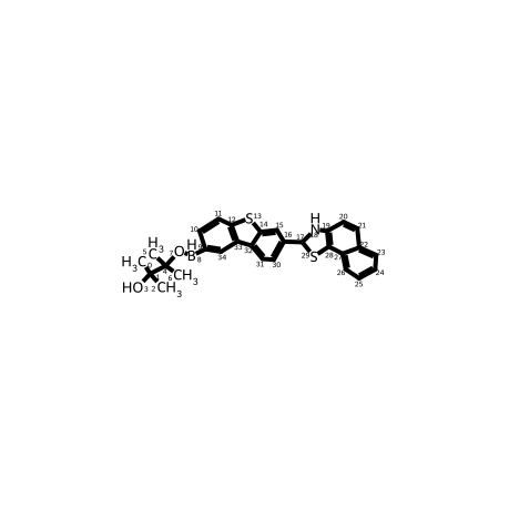 CC(C)(O)C(C)(C)OBc1ccc2sc3cc(C4Nc5ccc6ccccc6c5S4)ccc3c2c1